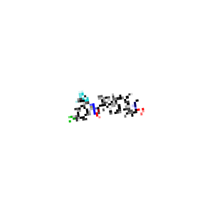 CC1=C2N(C)C(=O)CC[C@]2(C)[C@@H]2CC[C@]3(C)C(C(=O)Nc4ccc(Cl)cc4C(F)(F)F)CC[C@H]3[C@@H]2C1